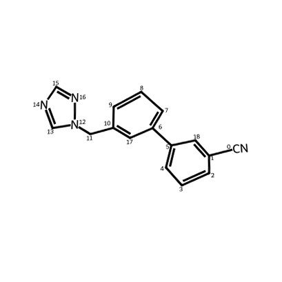 N#Cc1cccc(-c2cccc(Cn3cncn3)c2)c1